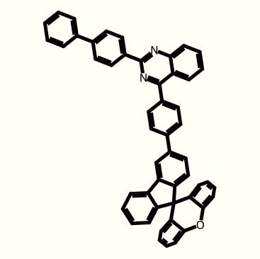 c1ccc(-c2ccc(-c3nc(-c4ccc(-c5ccc6c(c5)-c5ccccc5C65c6ccccc6Oc6ccccc65)cc4)c4ccccc4n3)cc2)cc1